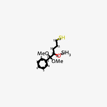 COC(OC)(c1ccccc1)C(CCCS)O[SiH3]